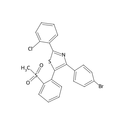 CS(=O)(=O)c1ccccc1-c1sc(-c2ccccc2Cl)nc1-c1ccc(Br)cc1